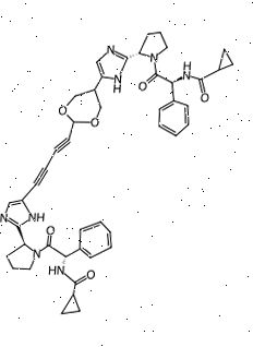 O=C(N[C@H](C(=O)N1CCC[C@H]1c1ncc(C#CC#CC2OCC(c3cnc([C@@H]4CCCN4C(=O)[C@@H](NC(=O)C4CC4)c4ccccc4)[nH]3)CO2)[nH]1)c1ccccc1)C1CC1